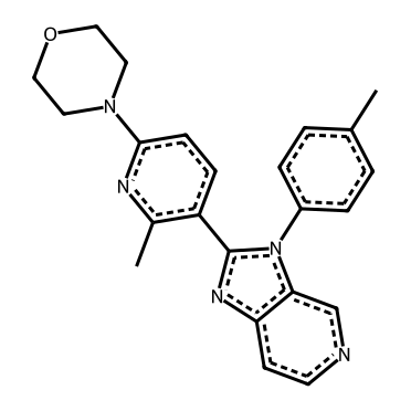 Cc1ccc(-n2c(-c3ccc(N4CCOCC4)nc3C)nc3ccncc32)cc1